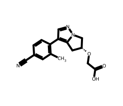 Cc1cc(C#N)ccc1-c1cnn2c1C[C@@H](OCC(=O)O)C2